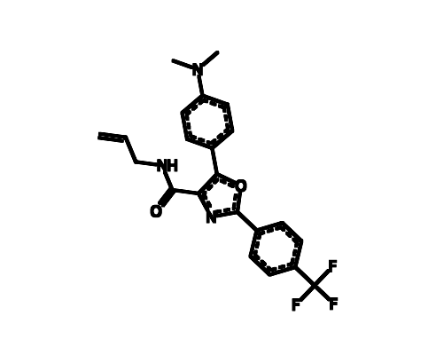 C=CCNC(=O)c1nc(-c2ccc(C(F)(F)F)cc2)oc1-c1ccc(N(C)C)cc1